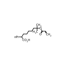 C=CC(=O)OC(C)(C)CCCCCC(CCC)C(=O)O